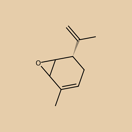 C=C(C)[C@@H]1CC=C(C)C2OC21